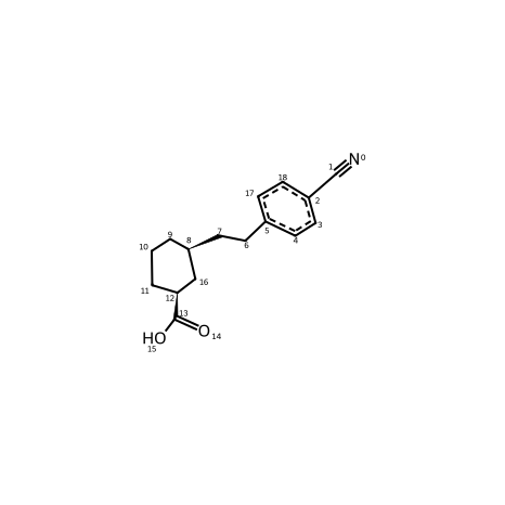 N#Cc1ccc(CC[C@@H]2CCC[C@H](C(=O)O)C2)cc1